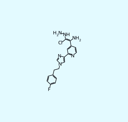 NN/C(Cl)=C(\N)c1ccnc(-c2cn(CCc3ccc(F)cc3)cn2)c1